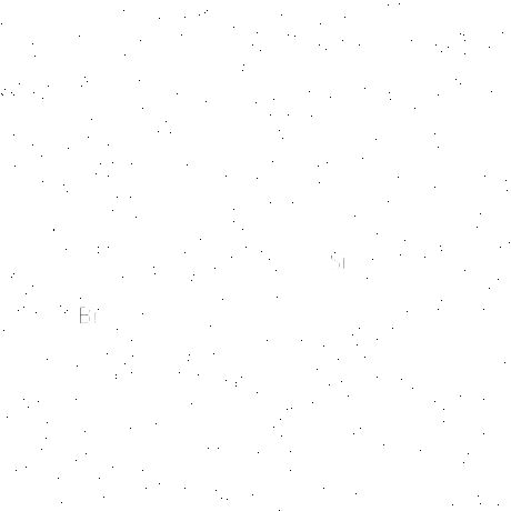 CC[Si](CC)(CC)c1ccc(Br)cc1